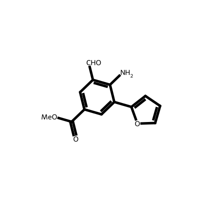 COC(=O)c1cc(C=O)c(N)c(-c2ccco2)c1